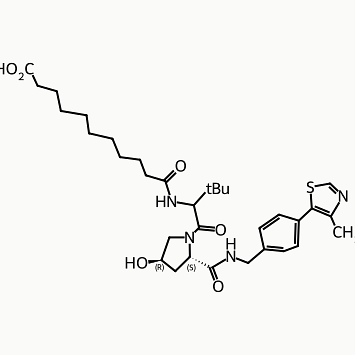 Cc1ncsc1-c1ccc(CNC(=O)[C@@H]2C[C@@H](O)CN2C(=O)C(NC(=O)CCCCCCCCCC(=O)O)C(C)(C)C)cc1